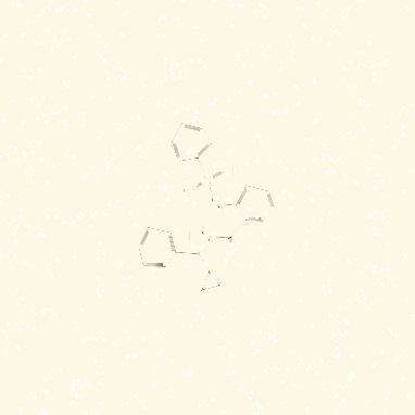 O=C(NC(c1ccccc1)C1CC1)c1ccccc1NS(=O)(=O)c1ccccc1